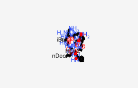 CCCCCCCCCCCCCC(=O)N[C@@H](Cc1c[nH]c2ccccc12)C(=O)NCC(=O)NCC(=O)N[C@H](C(=O)N[C@H](C(=O)N[C@H](C(=O)N[C@@H](CC(N)=O)C(=O)N[C@@H](Cc1ccc(O)cc1)C(=O)N[C@@H](C)C(=O)O)C(N)CCN)C(N)CCN)[C@@H](C)CC